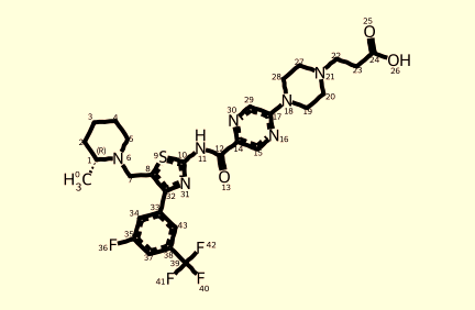 C[C@@H]1CCCCN1Cc1sc(NC(=O)c2cnc(N3CCN(CCC(=O)O)CC3)cn2)nc1-c1cc(F)cc(C(F)(F)F)c1